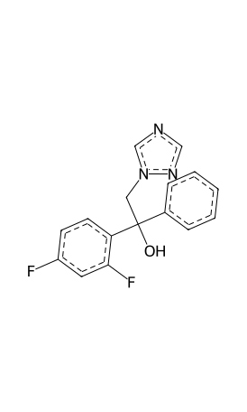 OC(Cn1cncn1)(c1ccccc1)c1ccc(F)cc1F